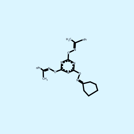 CCC/C(C)=N/Oc1nc(ON=C2CCCCC2)nc(O/N=C(\C)CCC)n1